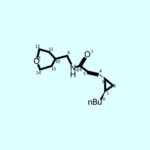 CCCC[C@@H]1C[C@H]1/C=C/C(=O)NCC1CCOCC1